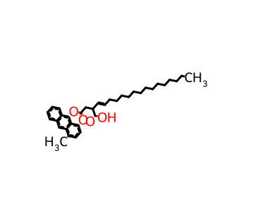 CCCCCCCCCCCCCCC=CC(CC(=O)Oc1c2ccccc2cc2c(C)cccc12)C(=O)O